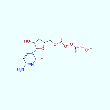 COOPOOPOCC1CC(O)C(n2ccc(N)nc2=O)O1